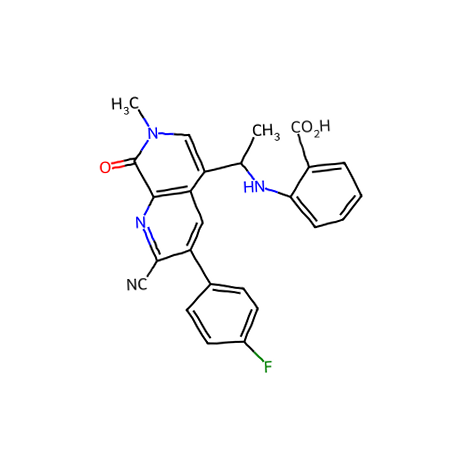 CC(Nc1ccccc1C(=O)O)c1cn(C)c(=O)c2nc(C#N)c(-c3ccc(F)cc3)cc12